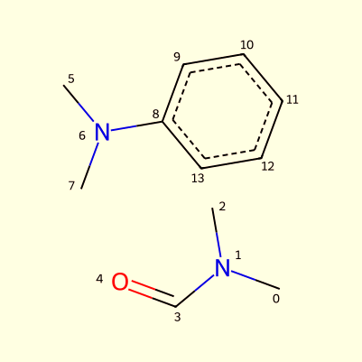 CN(C)C=O.CN(C)c1ccccc1